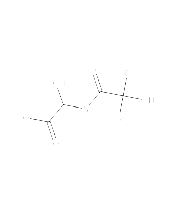 CC(Br)(Br)C(=O)NC(O)C(=O)O